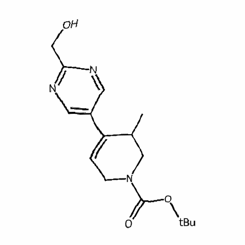 CC1CN(C(=O)OC(C)(C)C)CC=C1c1cnc(CO)nc1